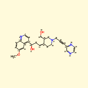 COc1ccc2nccc([C@H](O)CC[C@@H]3CCN(CC#Cc4cnccn4)C[C@@H]3CO)c2c1